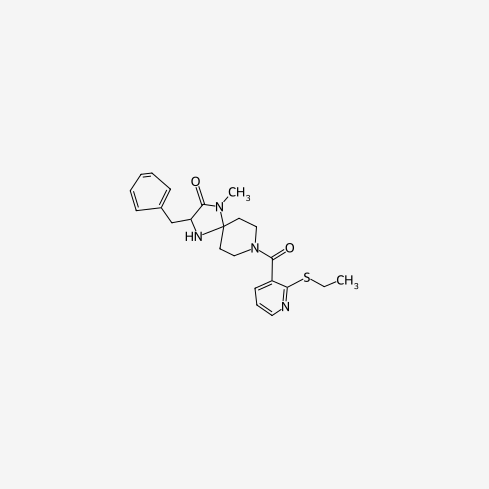 CCSc1ncccc1C(=O)N1CCC2(CC1)NC(Cc1ccccc1)C(=O)N2C